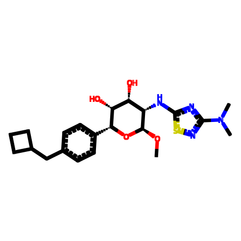 CO[C@H]1O[C@H](c2ccc(CC3CCC3)cc2)[C@H](O)[C@H](O)[C@@H]1Nc1nc(N(C)C)ns1